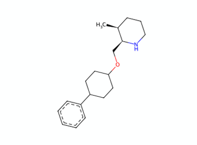 C[C@H]1CCCN[C@H]1COC1CCC(c2ccccc2)CC1